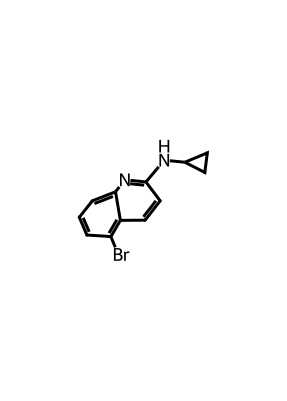 Brc1cccc2nc(NC3CC3)ccc12